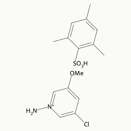 COc1cc(Cl)c[n+](N)c1.Cc1cc(C)c(S(=O)(=O)O)c(C)c1